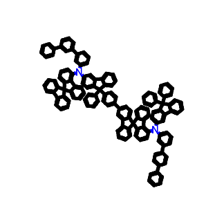 c1ccc(-c2ccc(-c3cccc(N(c4ccc5c(c4)-c4ccccc4C5(c4ccccc4)c4ccccc4)c4cccc5c4-c4ccccc4C54c5ccccc5-c5cc(-c6ccc(C7(c8ccccc8)c8ccccc8-c8cc(N(c9cccc(-c%10cccc(-c%11ccccc%11)c%10)c9)c9cccc%10c9-c9ccccc9C%109c%10ccccc%10-c%10ccccc%109)ccc87)cc6)ccc54)c3)cc2)cc1